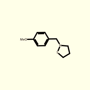 COc1ccc(CN2CCCS2)cc1